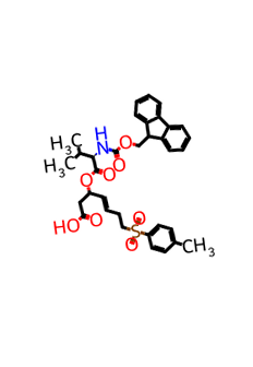 Cc1ccc(S(=O)(=O)CC/C=C/C(CC(=O)O)OC(=O)[C@@H](NC(=O)OCC2c3ccccc3-c3ccccc32)C(C)C)cc1